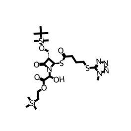 Cn1nnnc1SCCCC(=O)S[C@@H]1[C@@H](CO[Si](C)(C)C(C)(C)C)C(=O)N1C(O)C(=O)OCC[Si](C)(C)C